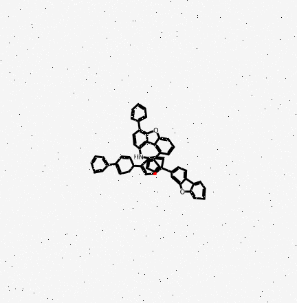 C1=CC(c2cccc(-c3cccc4oc5c(-c6ccccc6)ccc(Nc6ccc(-c7ccc8c(c7)oc7ccccc78)cc6)c5c34)c2)CC=C1c1ccccc1